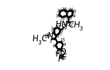 CCn1cc(-c2ccc(OC(F)(F)F)cc2)c2cc(CN[C@H](C)c3cccc4ccccc34)ccc21